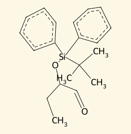 CCC(C=O)O[Si](c1ccccc1)(c1ccccc1)C(C)(C)C